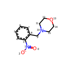 O=[N+]([O-])c1ccccc1[CH]N1CCOCC1